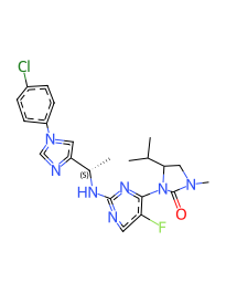 CC(C)C1CN(C)C(=O)N1c1nc(N[C@@H](C)c2cn(-c3ccc(Cl)cc3)cn2)ncc1F